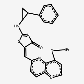 CC(C)Oc1ccnc2ccc(C=C3SC(NC4CC4c4ccccc4)=NC3=O)nc12